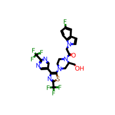 O=C(Cn1ccc2cc(F)ccc21)N1CCN(c2sc(C(F)(F)F)nc2-c2cnc(C(F)(F)F)nc2)CC1CO